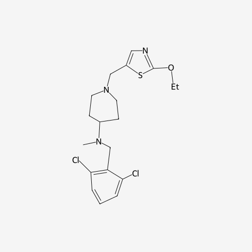 CCOc1ncc(CN2CCC(N(C)Cc3c(Cl)cccc3Cl)CC2)s1